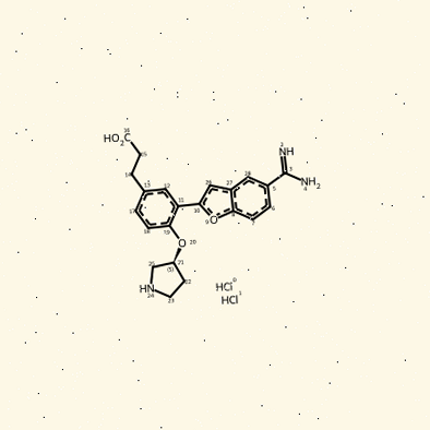 Cl.Cl.N=C(N)c1ccc2oc(-c3cc(CCC(=O)O)ccc3O[C@H]3CCNC3)cc2c1